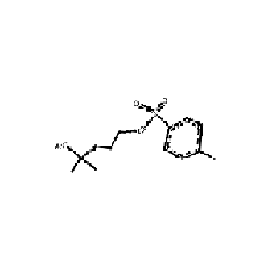 CC(=O)OC(C)(C)CCCOS(=O)(=O)c1ccc(C)cc1